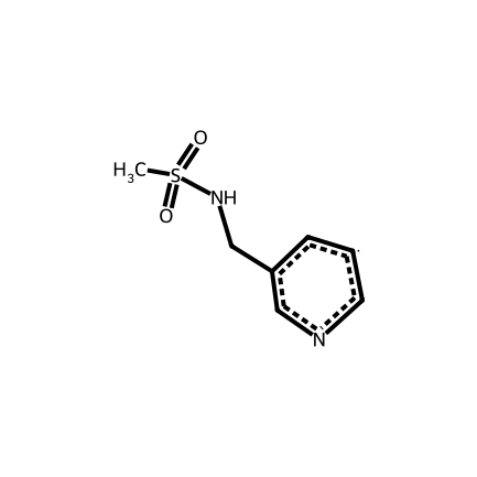 CS(=O)(=O)NCc1c[c]cnc1